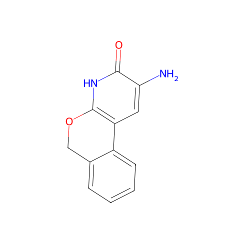 Nc1cc2c([nH]c1=O)OCc1ccccc1-2